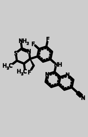 CC1SC(N)=N[C@](CF)(c2cc(Nc3nccc4cc(C#N)cnc34)cc(F)c2F)C1C